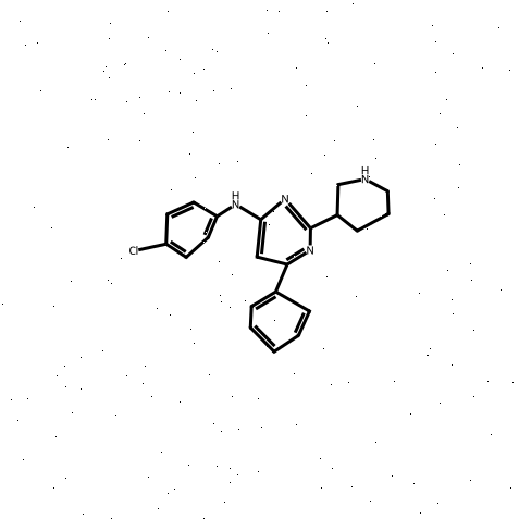 Clc1ccc(Nc2cc(-c3ccccc3)nc(C3CCCNC3)n2)cc1